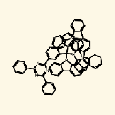 C1=Cc2c(n(-c3ccccc3)c3c2ccc2c4ccccc4n(C4(n5c6ccccc6c6ccc7c8ccccc8n(-c8ccccc8)c7c65)c5ccccc5-c5ccc(-c6nc(-c7ccccc7)nc(-c7ccccc7)n6)cc54)c23)CC1